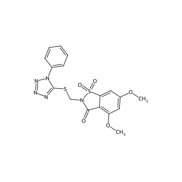 COc1cc(OC)c2c(c1)S(=O)(=O)N(CSc1nnnn1-c1ccccc1)C2=O